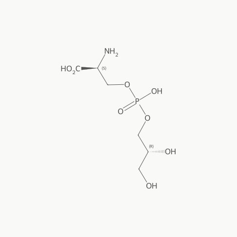 N[C@@H](COP(=O)(O)OC[C@H](O)CO)C(=O)O